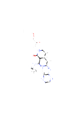 COCC(O)Cn1ccc2cc(Nc3cnccn3)nc(NC(C)(C)C)c2c1=O